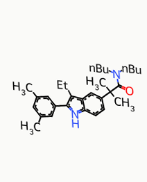 [CH2]Cc1c(-c2cc(C)cc(C)c2)[nH]c2ccc(C(C)(C)C(=O)N(CCCC)CCCC)cc12